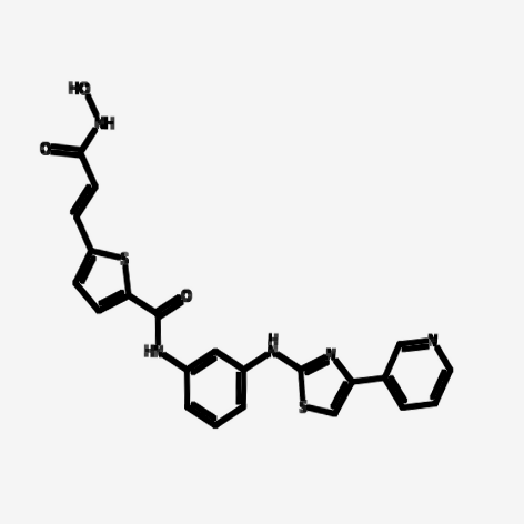 O=C(C=Cc1ccc(C(=O)Nc2cccc(Nc3nc(-c4cccnc4)cs3)c2)s1)NO